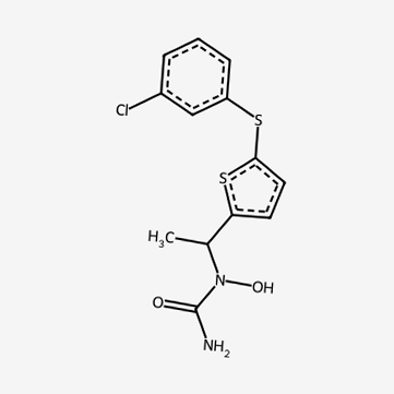 CC(c1ccc(Sc2cccc(Cl)c2)s1)N(O)C(N)=O